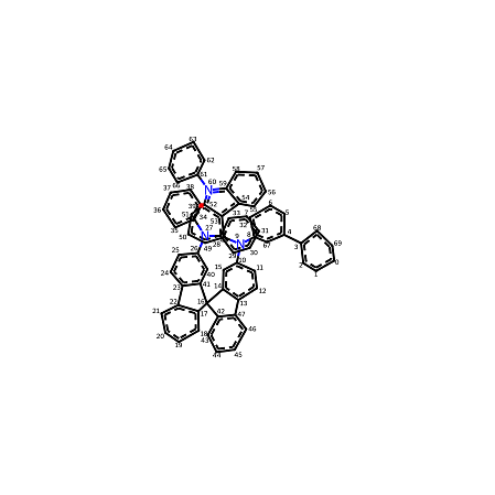 c1ccc(-c2cccc(N(c3ccc4c(c3)C3(c5ccccc5-c5ccc(N(c6ccccc6)c6ccccc6)cc53)c3ccccc3-4)c3cccc4c3c3ccccc3n4-c3ccccc3)c2)cc1